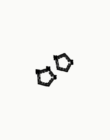 c1cscn1.c1csnn1